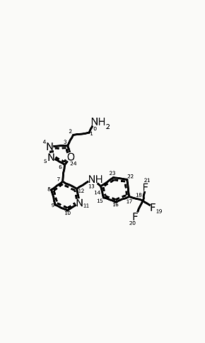 NCCc1nnc(-c2cccnc2Nc2ccc(C(F)(F)F)cc2)o1